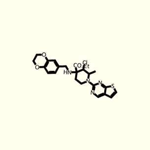 CCOC(=O)C1(NCc2ccc3c(c2)OCCO3)CCN(c2ncc3ccsc3n2)C(C)C1Cl